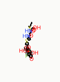 CCCCC(C)SC(CC(=O)O)C(=O)NCCC(=O)Nc1cccc(Sc2ccc([C@@H]3O[C@@H]4CC5[C@@H]6C[C@H](F)C7=CC(=O)C=C[C@]7(C)[C@@]6(F)[C@@H](O)C[C@]5(C)[C@]4(C(=O)CO)O3)cc2)c1